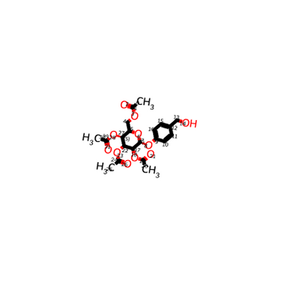 CC(=O)OCC1O[C@@H](Oc2ccc(CO)cc2)C(OC(C)=O)C(OC(C)=O)[C@H]1OC(C)=O